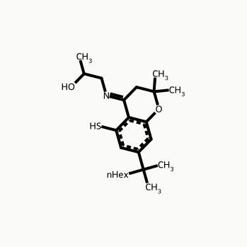 CCCCCCC(C)(C)c1cc(S)c2c(c1)OC(C)(C)CC2=NCC(C)O